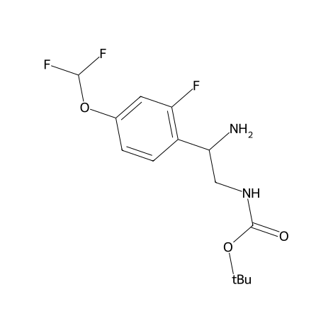 CC(C)(C)OC(=O)NCC(N)c1ccc(OC(F)F)cc1F